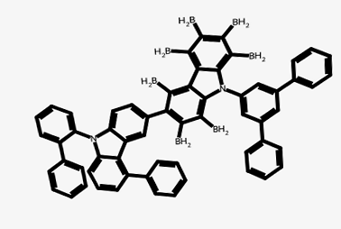 Bc1c(B)c(B)c2c(c1B)c1c(B)c(-c3ccc4c(c3)c3c(-c5ccccc5)cccc3n4-c3ccccc3-c3ccccc3)c(B)c(B)c1n2-c1cc(-c2ccccc2)cc(-c2ccccc2)c1